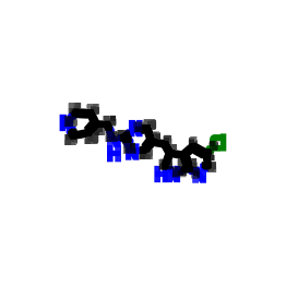 Clc1cnc2c(c1)C(Cc1cnc(NCc3ccncc3)nc1)CN2